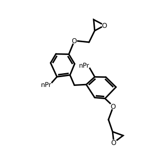 CCCc1ccc(OCC2CO2)cc1Cc1cc(OCC2CO2)ccc1CCC